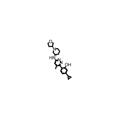 Cc1cc(N[C@H]2CCCN(C3CCOC3)C2)nnc1-c1ccc(C2CC2)cc1O